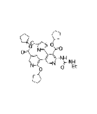 CCNC(=O)Nc1ncc(-c2cc(C(=O)OC3CCCC3)cnc2OC2CCCC2)c(-c2nc(C(F)(F)F)cs2)c1C(=O)OC1CCCC1